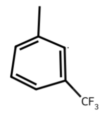 Cc1[c]c(C(F)(F)F)ccc1